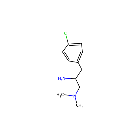 CN(C)CC(N)Cc1ccc(Cl)cc1